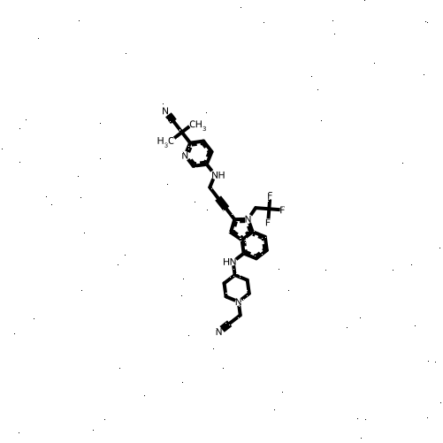 CC(C)(C#N)c1ccc(NCC#Cc2cc3c(NC4CCN(CC#N)CC4)cccc3n2CC(F)(F)F)cn1